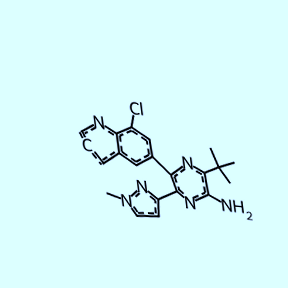 Cn1ccc(-c2nc(N)c(C(C)(C)C)nc2-c2cc(Cl)c3ncccc3c2)n1